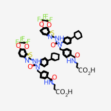 O=C(O)CCNC(=O)c1ccc(CN(C(=O)Nc2nc3ccc4c(c3s2)OC(F)(F)C(F)(F)O4)c2ccc(C3=CCCCC3)cc2)cc1.O=C(O)CCNC(=O)c1ccc(CN(C(=O)Nc2nc3ccc4c(c3s2)OC(F)(F)C(F)(F)O4)c2ccc(C3CCCCC3)cc2)cc1